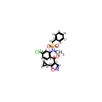 CN(c1cc(Cl)ccc1C(=O)c1cnoc1C1CC1)S(=O)(=O)Cc1ccccc1